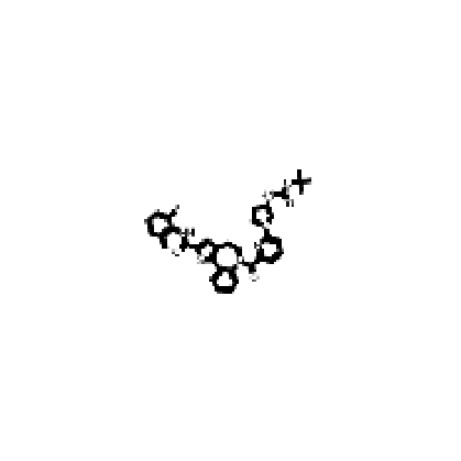 Cc1cccc(F)c1NC(=O)c1cc2c(s1)-c1ccccc1N(C(=O)c1cccc(N3CC[C@H](NC(=O)OC(C)(C)C)C3)n1)CC2